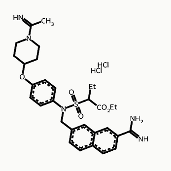 CCOC(=O)C(CC)S(=O)(=O)N(Cc1ccc2ccc(C(=N)N)cc2c1)c1ccc(OC2CCN(C(C)=N)CC2)cc1.Cl.Cl